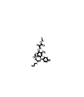 CCCC[C@H]1CN(c2ccc(F)cc2)c2cc(SC)c(O/C=C(\F)C(=O)OCC)cc2S(=O)(=O)C1